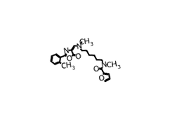 Cc1ccccc1C1=N/C(=C/N(C)CCCCCCN(C)C(=O)c2ccco2)C(=O)O1